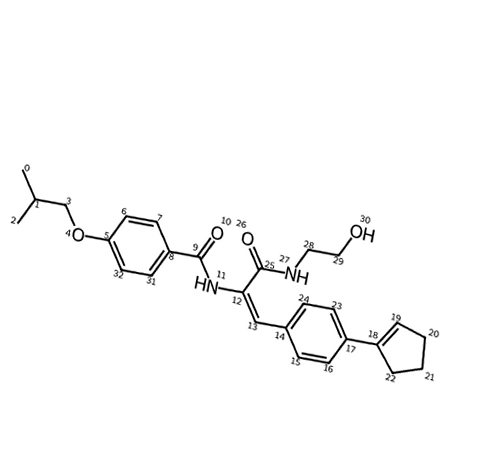 CC(C)COc1ccc(C(=O)NC(=Cc2ccc(C3=CCCC3)cc2)C(=O)NCCO)cc1